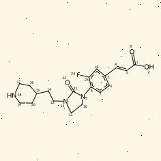 O=C(O)/C=C/c1ccc(N2CCN(CCC3CCNCC3)C2=O)c(F)c1